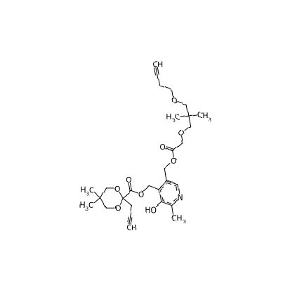 C#CCCOCC(C)(C)COCC(=O)OCc1cnc(C)c(O)c1COC(=O)C1(CC#C)OCC(C)(C)CO1